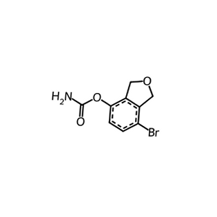 NC(=O)Oc1ccc(Br)c2c1COC2